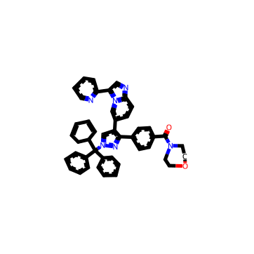 O=C(c1ccc(-c2nn(C(c3ccccc3)(c3ccccc3)C3C=CC=CC3)cc2-c2ccc3ncc(-c4ccccn4)n3c2)cc1)N1CCOCC1